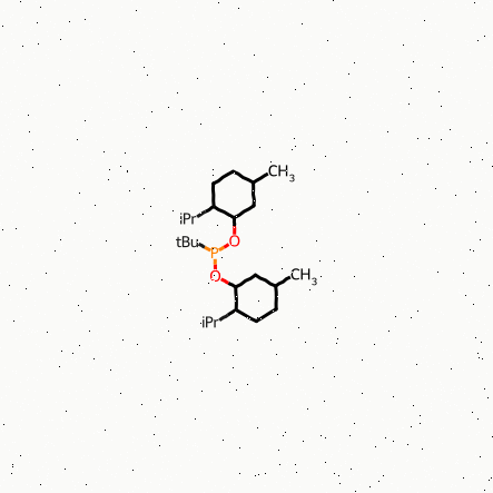 CC1CCC(C(C)C)C(OP(OC2CC(C)CCC2C(C)C)C(C)(C)C)C1